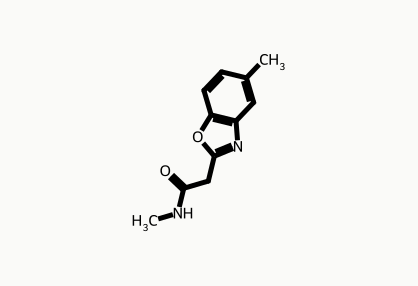 CNC(=O)Cc1nc2cc(C)ccc2o1